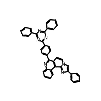 c1ccc(-c2cn3ccc4c(-c5ccc(-c6nc(-c7ccccc7)nc(-c7ccccc7)n6)cc5)nc5ccccc5c4c3n2)cc1